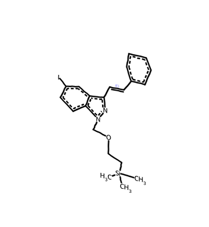 C[Si](C)(C)CCOCn1nc(/C=C/c2ccccc2)c2cc(I)ccc21